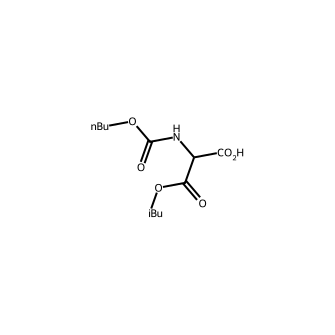 CCCCOC(=O)NC(C(=O)O)C(=O)OC(C)CC